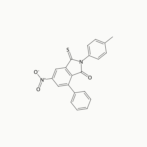 Cc1ccc(N2C(=O)c3c(cc([N+](=O)[O-])cc3-c3ccccc3)C2=S)cc1